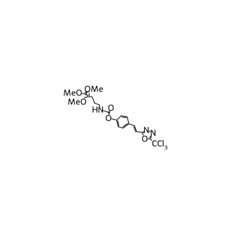 CO[Si](CCCNC(=O)Oc1ccc(C=Cc2nnc(C(Cl)(Cl)Cl)o2)cc1)(OC)OC